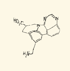 NCc1cccc(-c2cccc3ncnc(N4CCCC(C(=O)O)C4)c23)c1